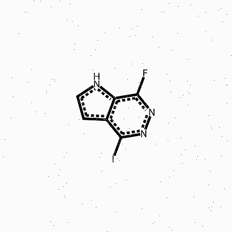 Fc1nnc(I)c2cc[nH]c12